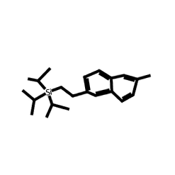 Cc1ccc2cc(CC[Si](C(C)C)(C(C)C)C(C)C)ccc2c1